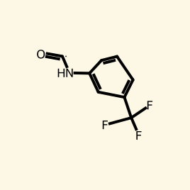 O=[C]Nc1cccc(C(F)(F)F)c1